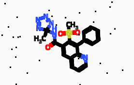 CC1(NC(=O)c2cc3cccnc3c(-c3ccccc3)c2S(C)(=O)=O)N=NN=N1